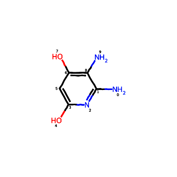 Nc1nc(O)cc(O)c1N